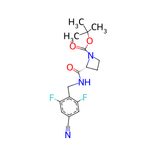 CC(C)(C)OC(=O)N1CC[C@@H]1C(=O)NCc1c(F)cc(C#N)cc1F